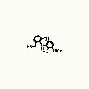 COc1cccc(Pc2c(C)cccc2CS)c1O